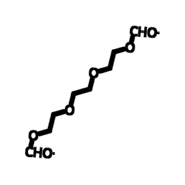 O=[C]OCCOCCOCCO[C]=O